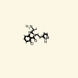 C[C@H](N)c1nc2cccc(Cl)c2c(=O)n1CCc1ccn[nH]1